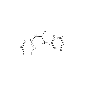 CC(Sc1ccccc1)Sc1ccccc1